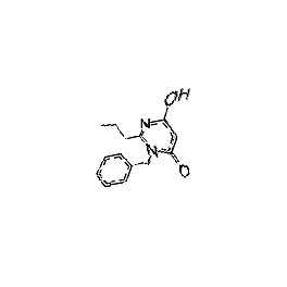 CCCc1nc(O)cc(=O)n1Cc1ccccc1